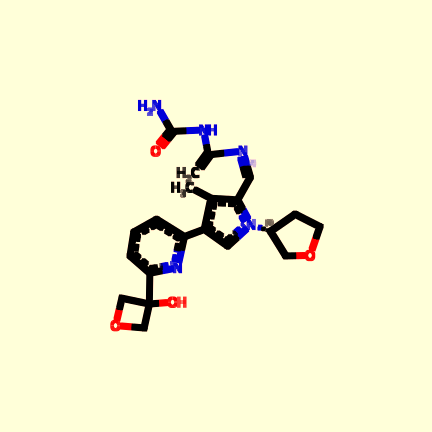 C=C(/N=C\c1c(C)c(-c2cccc(C3(O)COC3)n2)cn1[C@@H]1CCOC1)NC(N)=O